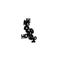 CC(C)C(=O)N1CCN(C(O)N(Cc2ccc(-c3nnc(C(F)(F)F)o3)cc2)c2ccccc2)CC1